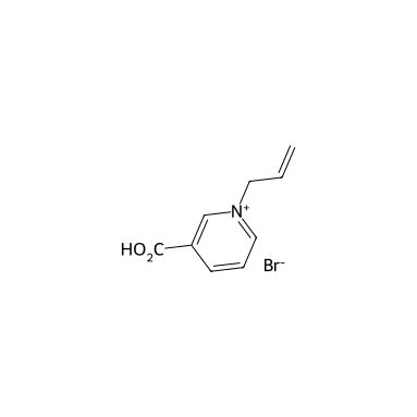 C=CC[n+]1cccc(C(=O)O)c1.[Br-]